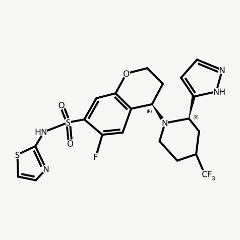 O=S(=O)(Nc1nccs1)c1cc2c(cc1F)[C@H](N1CCC(C(F)(F)F)C[C@@H]1c1ccn[nH]1)CCO2